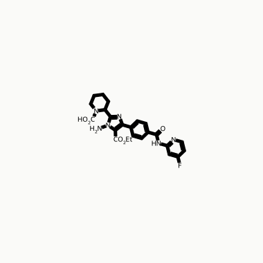 CCOC(=O)c1c(-c2ccc(C(=O)Nc3cc(F)ccn3)cc2)nc(C2CCCCN2C(=O)O)n1N